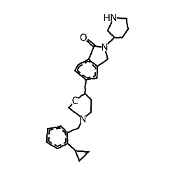 O=C1c2ccc(C3CCN(Cc4ccccc4C4CC4)CC3)cc2CN1C1CCCNC1